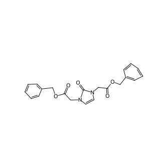 O=C(Cn1ccn(CC(=O)OCc2ccccc2)c1=O)OCc1ccccc1